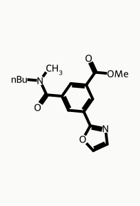 CCCCN(C)C(=O)c1cc(C(=O)OC)cc(-c2ncco2)c1